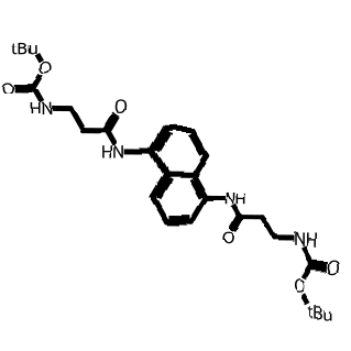 CC(C)(C)OC(=O)NCCC(=O)Nc1cccc2c(NC(=O)CCNC(=O)OC(C)(C)C)cccc12